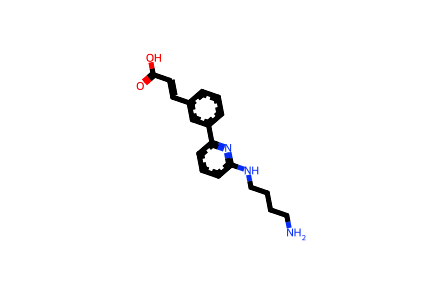 NCCCCNc1cccc(-c2cccc(/C=C/C(=O)O)c2)n1